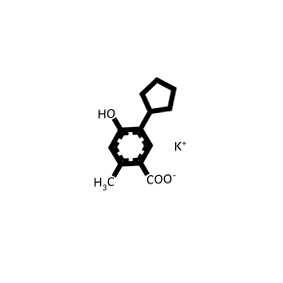 Cc1cc(O)c(C2CCCC2)cc1C(=O)[O-].[K+]